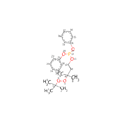 CC(C)(C)OOC(C)(C)CCOP(Oc1ccccc1)Oc1ccccc1